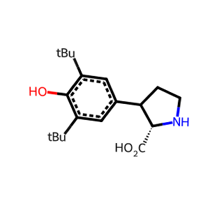 CC(C)(C)c1cc(C2CCN[C@@H]2C(=O)O)cc(C(C)(C)C)c1O